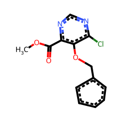 COC(=O)c1ncnc(Cl)c1OCc1ccccc1